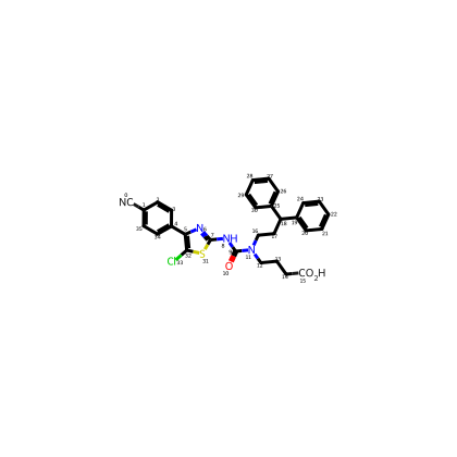 N#Cc1ccc(-c2nc(NC(=O)N(CCCC(=O)O)CCC(c3ccccc3)c3ccccc3)sc2Cl)cc1